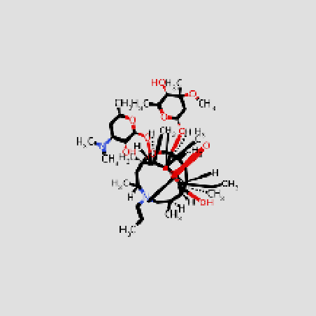 C=C1CC[C@@H]2[C@@H](C)CN(CCC)[C@H](C)C[C@@](C)(OC1)[C@H](O[C@@H]1O[C@H](C)C[C@H](N(C)C)[C@H]1O)[C@@H](C)[C@H](O[C@H]1C[C@@](C)(OC)[C@@H](O)[C@H](C)O1)[C@@H](C)C(=O)O[C@H](CC)[C@@]2(C)O